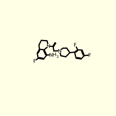 C=C(CN1CCC(c2ccc(F)cc2F)CC1)N1CCCc2cc(F)cc(N)c21